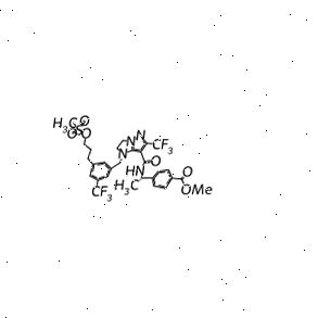 COC(=O)c1ccc([C@H](C)NC(=O)c2c(C(F)(F)F)nn3c2N(Cc2cc(CCCOS(C)(=O)=O)cc(C(F)(F)F)c2)CC3)cc1